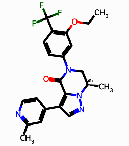 CCOc1cc(N2C[C@@H](C)n3ncc(-c4ccnc(C)c4)c3C2=O)ccc1C(F)(F)F